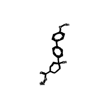 CCCCOC(=O)C1CCC(O)(c2ccc(-c3ccc(OCCCC)cc3)cc2)CC1